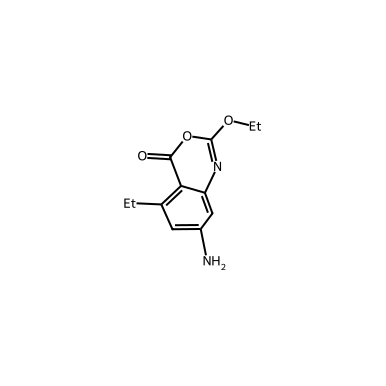 CCOc1nc2cc(N)cc(CC)c2c(=O)o1